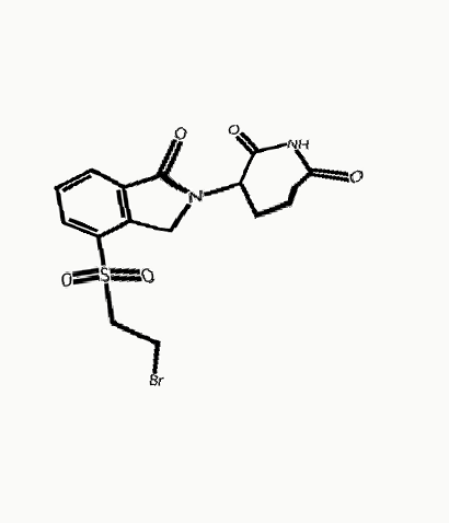 O=C1CCC(N2Cc3c(cccc3S(=O)(=O)CCBr)C2=O)C(=O)N1